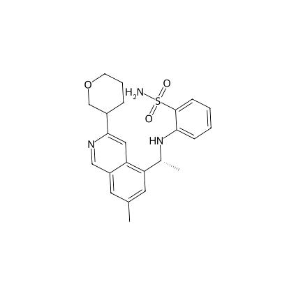 Cc1cc([C@@H](C)Nc2ccccc2S(N)(=O)=O)c2cc(C3CCCOC3)ncc2c1